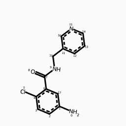 Nc1ccc(Cl)c(C(=O)NCc2cccnc2)c1